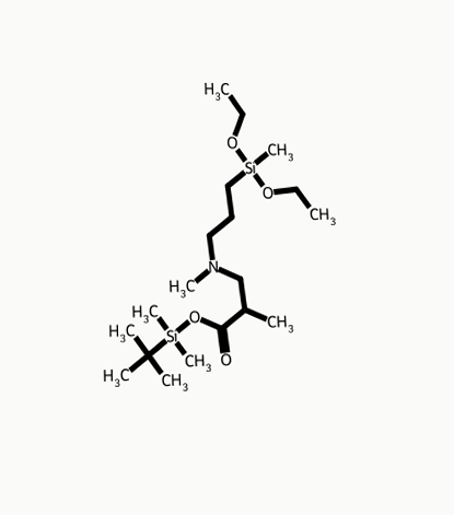 CCO[Si](C)(CCCN(C)CC(C)C(=O)O[Si](C)(C)C(C)(C)C)OCC